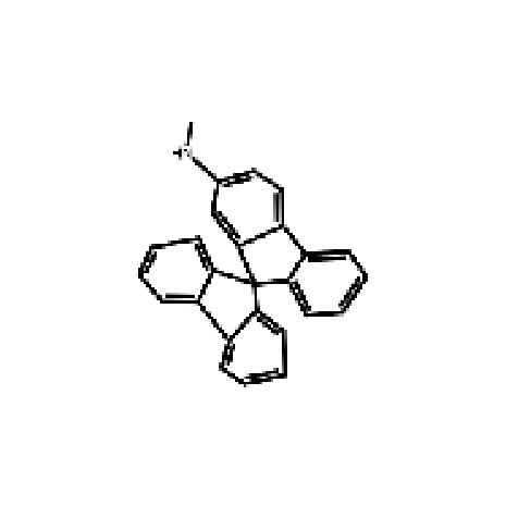 CNc1ccc2c(c1)C1(c3ccccc3-c3ccccc31)c1ccccc1-2